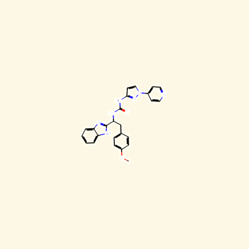 COc1ccc(CC(NC(=O)Nc2ccn(-c3ccncc3)n2)c2nc3ccccc3[nH]2)cc1